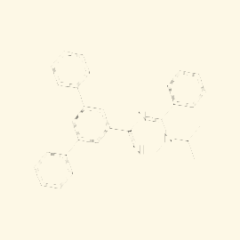 CC(C)N(C)/C(=N\C(=N)c1cc(-c2ccccc2)cc(-c2ccccc2)c1)c1ccccc1